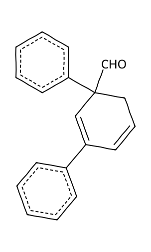 O=CC1(c2ccccc2)C=C(c2ccccc2)C=CC1